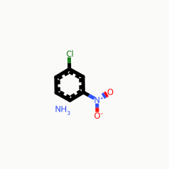 N.O=[N+]([O-])c1cccc(Cl)c1